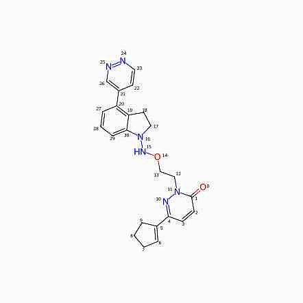 O=c1ccc(C2=CCCC2)nn1CCONN1CCc2c(-c3ccnnc3)cccc21